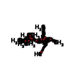 C#CC#CC#CC#CC#COc1ccc2c(-c3ccc4cc(CCCCCCOc5cc(C)c(OC)cc5OC(=O)c5ccc6c(c5)C(C)(c5ccc(C(=O)OC)cc5)CC6(C)C)ccc4c3)c3cc(OCCCCCCCCCC)ccc3c(-c3ccc4cc(CCCCCC)ccc4c3)c2c1